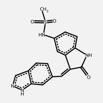 CS(=O)(=O)Nc1ccc2c(c1)/C(=C\c1ccc3cn[nH]c3c1)C(=O)N2